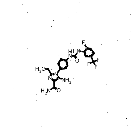 CCc1nc(C(N)=O)c(N)n1-c1ccc(NC(=O)Nc2cc(C(F)(F)F)ccc2F)cc1